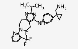 CC(C)c1nc2c(c(Nc3ccc(C4(CN)CC4)cc3)n1)CCN(c1ncccc1C(F)(F)F)CC2